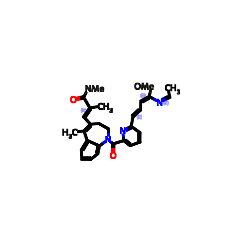 C\C=N/C(=C\C=C\c1cccc(C(=O)N2CCC(/C=C(\C)C(=O)NC)=C(C)c3ccccc32)n1)OC